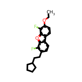 CCOc1ccc2c(oc3c(F)c(CCC4CCCC4)ccc32)c1F